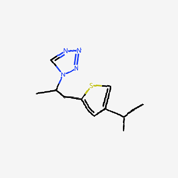 CC(C)c1csc(CC(C)n2cnnn2)c1